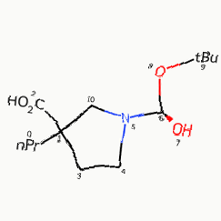 CCCC1(C(=O)O)CCN([C@H](O)OC(C)(C)C)C1